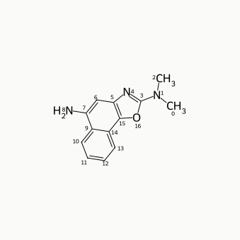 CN(C)c1nc2cc(N)c3ccccc3c2o1